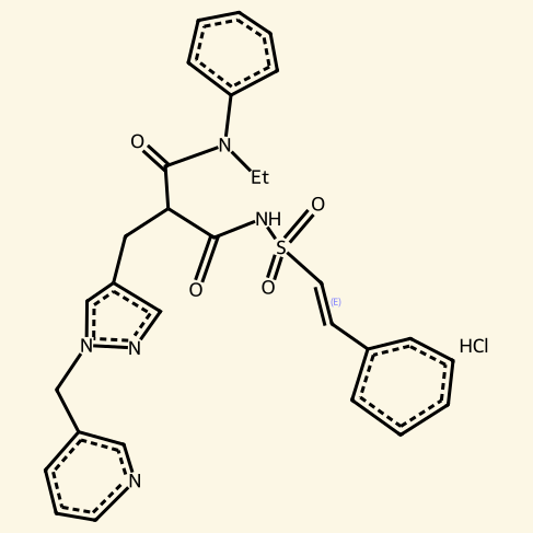 CCN(C(=O)C(Cc1cnn(Cc2cccnc2)c1)C(=O)NS(=O)(=O)/C=C/c1ccccc1)c1ccccc1.Cl